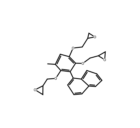 Cc1cc(OCC2CO2)c(OCC2CO2)c(-c2cccc3ccccc23)c1OCC1CO1